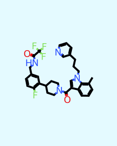 Cc1cccc2c(C(=O)N3CCC(c4cc(CNC(=O)C(F)(F)F)ccc4F)CC3)cn(CCCc3cccnc3)c12